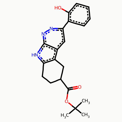 CC(C)(C)OC(=O)C1CCc2[nH]c3nnc(-c4ccccc4O)cc3c2C1